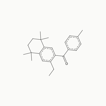 CCc1cc2c(cc1C(=O)c1ccc(C)cc1)C(C)(C)CCC2(C)C